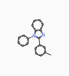 Cc1cccc(-c2nc3ccccc3n2-c2ccccc2)c1